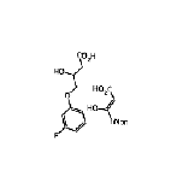 CCCCCCCCCC(O)=CC(=O)O.O=C(O)CC(O)COc1cccc(F)c1